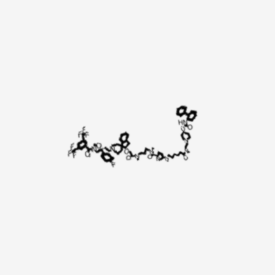 CN(CCN1CCC(OC(=O)Nc2ccccc2-c2ccccc2)CC1)C(=O)CCCCCN(C)c1ccc(C(=O)N(C)CCCN(C)C(=O)CO[C@H]2Cc3ccccc3C23CCN(CC[C@]2(c4ccc(F)cc4)CN(C(=O)c4cc(C(F)(F)F)cc(C(F)(F)F)c4)CO2)CC3)nc1